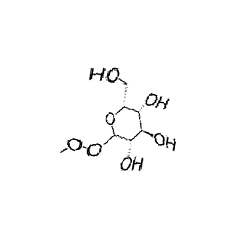 COOC1O[C@H](CO)[C@H](O)[C@@H](O)[C@@H]1O